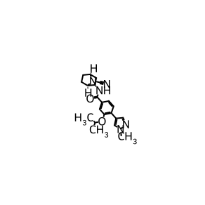 CC(C)Oc1cc(C(=O)N[C@@H]2C[C@@H]3CC[C@H]2N3C#N)ccc1-c1cnn(C)c1